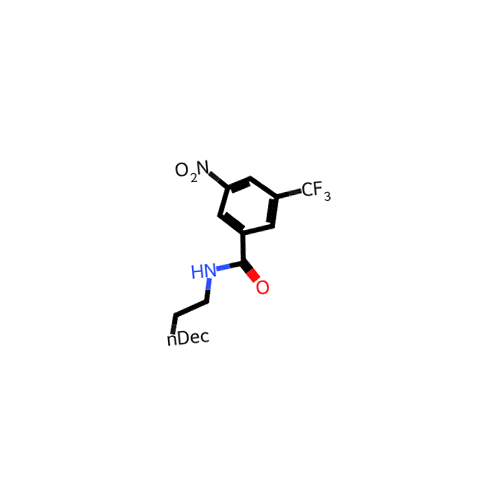 CCCCCCCCCCCCNC(=O)c1cc([N+](=O)[O-])cc(C(F)(F)F)c1